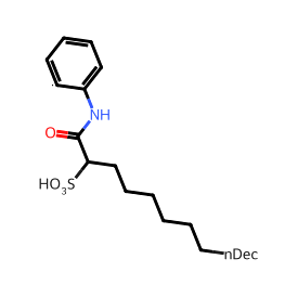 CCCCCCCCCCCCCCCCC(C(=O)Nc1[c]cccc1)S(=O)(=O)O